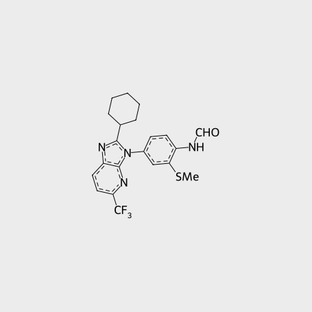 CSc1cc(-n2c(C3CCCCC3)nc3ccc(C(F)(F)F)nc32)ccc1NC=O